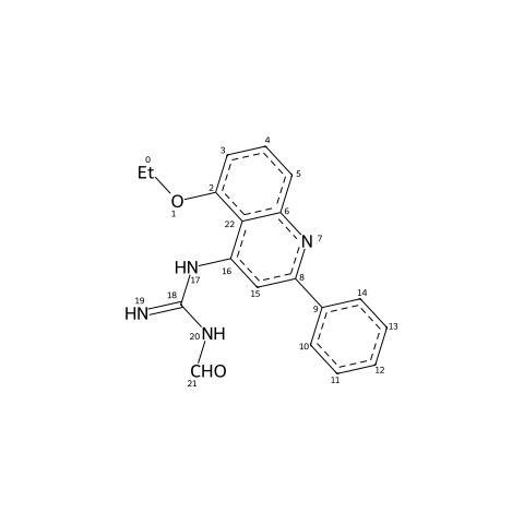 CCOc1cccc2nc(-c3ccccc3)cc(NC(=N)NC=O)c12